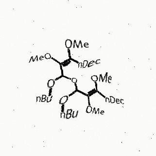 CCCCCCCCCCC(OC)=C(OC)C(OCCCC)OC(OCCCC)C(OC)=C(CCCCCCCCCC)OC